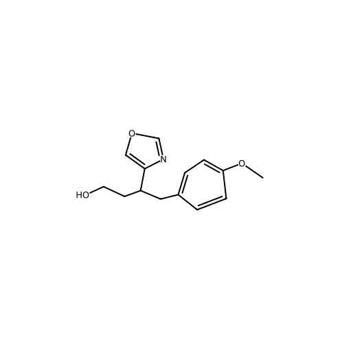 COc1ccc(CC(CCO)c2cocn2)cc1